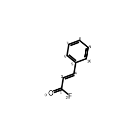 O=C(F)/C=C/c1ccccc1